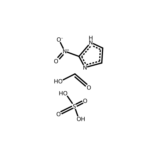 O=CO.O=S(=O)(O)O.O=[N+]([O-])c1ncc[nH]1